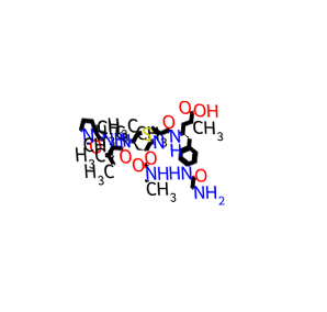 CCNC(=O)O[C@H](C[C@H](C(C)C)N(C)C(=O)[C@@H](NC(=O)[C@@]1(C)CCCN1C)C(C)CC)c1nc(C(=O)N[C@@H](Cc2ccc(NC(=O)CN)cc2)C[C@H](C)C(=O)O)cs1